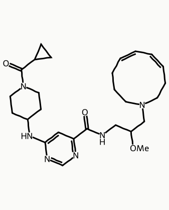 COC(CNC(=O)c1cc(NC2CCN(C(=O)C3CC3)CC2)ncn1)CN1CC/C=C\C=C/CCC1